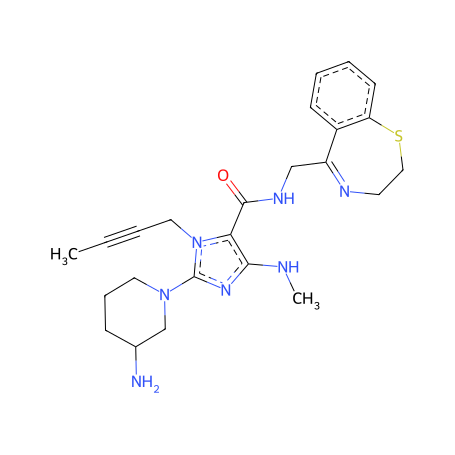 CC#CCn1c(N2CCCC(N)C2)nc(NC)c1C(=O)NCC1=NCCSc2ccccc21